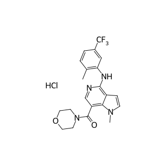 Cc1ccc(C(F)(F)F)cc1Nc1ncc(C(=O)N2CCOCC2)c2c1ccn2C.Cl